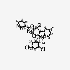 Cc1ccc2c(c1)c(C(=O)c1nnc(-c3cccnn3)o1)c(Cl)n2Cc1ccc(Cl)cc1Cl